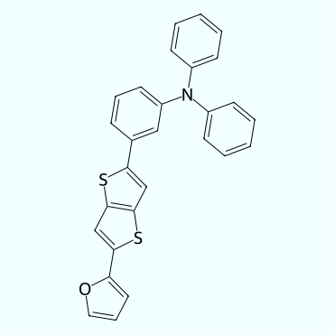 c1ccc(N(c2ccccc2)c2cccc(-c3cc4sc(-c5ccco5)cc4s3)c2)cc1